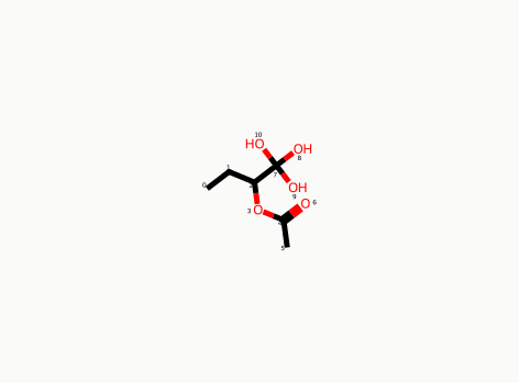 CCC(OC(C)=O)C(O)(O)O